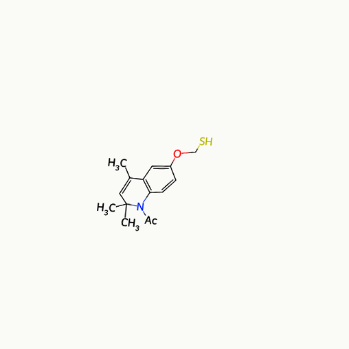 CC(=O)N1c2ccc(OCS)cc2C(C)=CC1(C)C